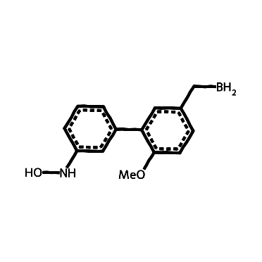 BCc1ccc(OC)c(-c2cccc(NO)c2)c1